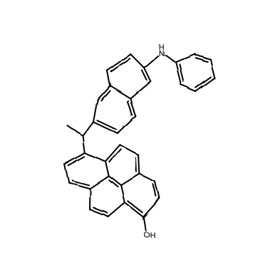 CC(c1ccc2cc(Nc3ccccc3)ccc2c1)c1ccc2ccc3c(O)ccc4ccc1c2c43